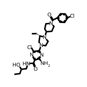 CCC(O)CNC(=O)c1nc(Cl)c(N2CCN(C3CCN(C(=O)c4ccc(Cl)cc4)CC3)[C@@H](CC)C2)nc1N